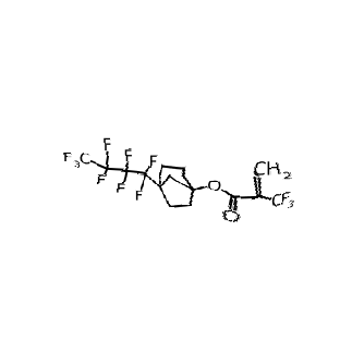 C=C(C(=O)OC12CCC(C(F)(F)C(F)(F)C(F)(F)C(F)(F)F)(CC1)C2)C(F)(F)F